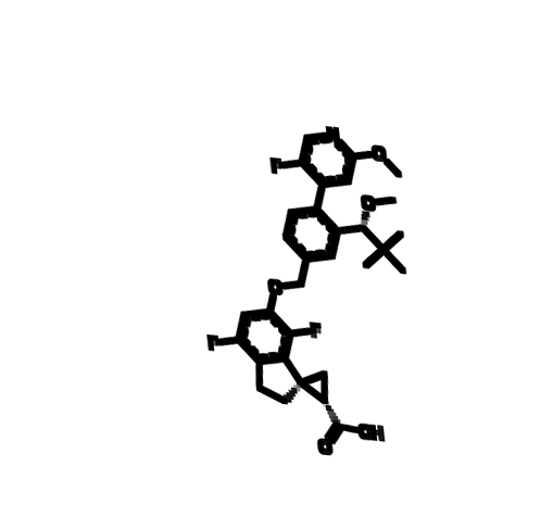 COc1cc(-c2ccc(COc3cc(F)c4c(c3F)[C@@]3(CC4)C[C@@H]3C(=O)O)cc2[C@H](OC)C(C)(C)C)c(F)cn1